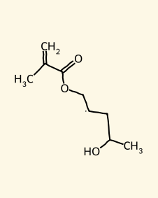 C=C(C)C(=O)OC[CH]CC(C)O